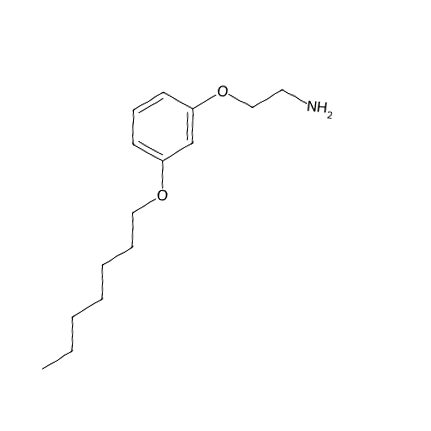 CCCCCCCOc1cccc(OCCN)c1